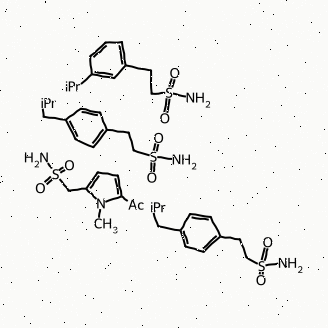 CC(=O)c1ccc(CS(N)(=O)=O)n1C.CC(C)Cc1ccc(CCS(N)(=O)=O)cc1.CC(C)Cc1ccc(CCS(N)(=O)=O)cc1.CC(C)c1cccc(CCS(N)(=O)=O)c1